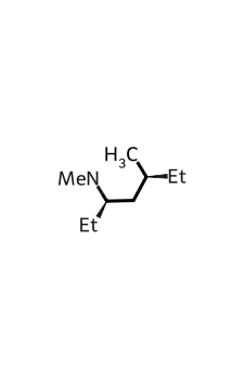 CC[C@H](C)C[C@@H](CC)NC